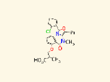 CC(COc1ccccc1C(=O)N(C)c1nc(-c2ccccc2Cl)oc1C(C)C)C(=O)O